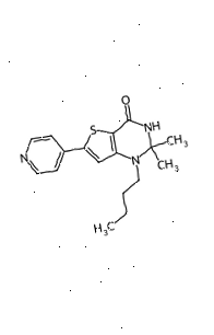 CCCCN1c2cc(-c3ccncc3)sc2C(=O)NC1(C)C